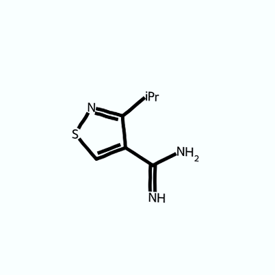 CC(C)c1nscc1C(=N)N